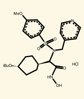 COc1ccc(S(=O)(=O)N(Cc2ccncc2)C(C(=O)NO)[C@H]2CC[C@H](OCC(C)C)CC2)cc1.Cl